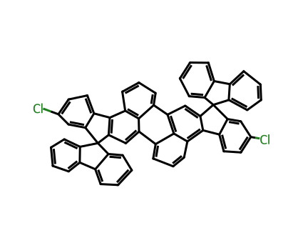 Clc1ccc2c(c1)C1(c3ccccc3-c3ccccc31)c1cc3c4cccc5c6c(cc(c7cccc(c1-2)c73)c54)C1(c2ccccc2-c2ccccc21)c1cc(Cl)ccc1-6